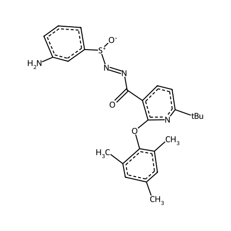 Cc1cc(C)c(Oc2nc(C(C)(C)C)ccc2C(=O)N=N[S+]([O-])c2cccc(N)c2)c(C)c1